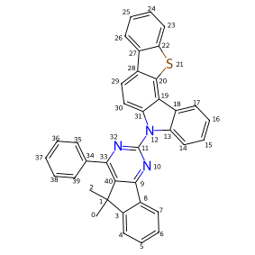 CC1(C)c2ccccc2-c2nc(-n3c4ccccc4c4c5sc6ccccc6c5ccc43)nc(-c3ccccc3)c21